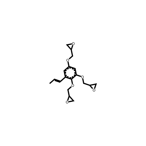 CC=Cc1cc(OCC2CO2)cc(OCC2CO2)c1OCC1CO1